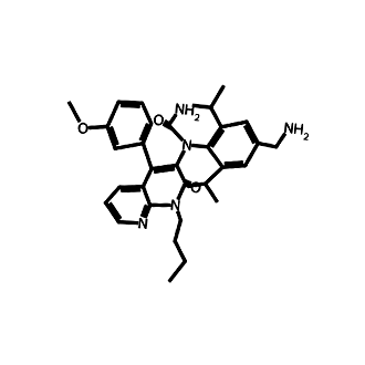 CCCCn1c(=O)c(N(C(N)=O)c2c(C(C)C)cc(CN)cc2C(C)C)c(-c2cccc(OC)c2)c2cccnc21